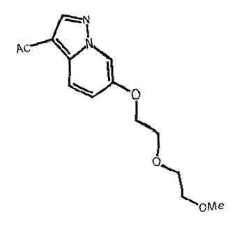 COCCOCCOc1ccc2c(C(C)=O)cnn2c1